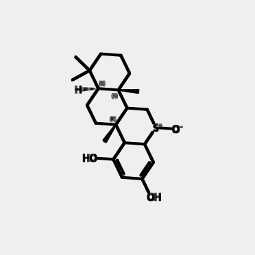 CC1(C)CCC[C@]2(C)C3C[S+]([O-])C4C=C(O)C=C(O)C4[C@]3(C)CC[C@@H]12